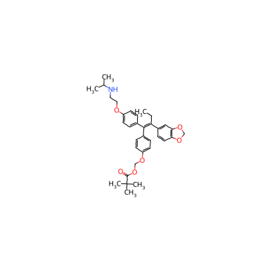 CCC(=C(c1ccc(OCCNC(C)C)cc1)c1ccc(OCOC(=O)C(C)(C)C)cc1)c1ccc2c(c1)OCO2